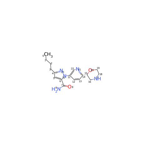 CCCCc1cc(C(N)=O)n(-c2ccc([C@H]3CNCCO3)nc2)n1